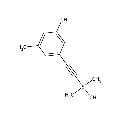 Cc1cc(C)cc(C#CS(C)(C)C)c1